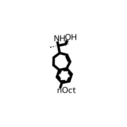 CCCCCCCCc1ccc2c(c1)CCC([C@@](C)(N)CO)C=C2